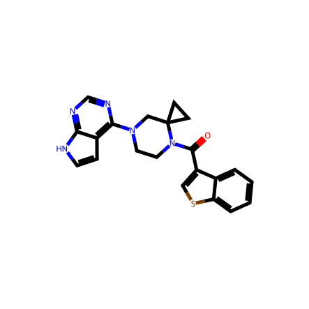 O=C(c1csc2ccccc12)N1CCN(c2ncnc3[nH]ccc23)CC12CC2